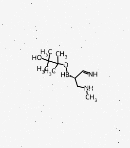 CNC[C@@H](BOC(C)(C)C(C)(C)O)C=N